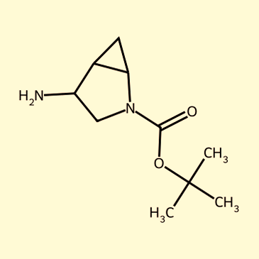 CC(C)(C)OC(=O)N1CC(N)C2CC21